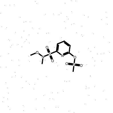 CON(C)S(=O)(=O)c1cccc(OS(C)(=O)=O)n1